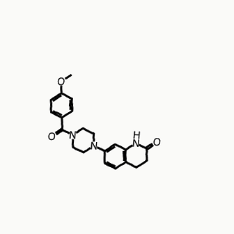 COc1ccc(C(=O)N2CCN(c3ccc4c(c3)NC(=O)CC4)CC2)cc1